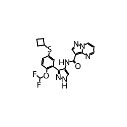 O=C(Nc1c[nH]nc1-c1cc(SC2CCC2)ccc1OC(F)F)c1cnn2cccnc12